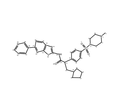 CN1CCN(S(=O)(=O)c2ccc(C(CC3CCCC3)C(=O)Nc3nc4ccc(-c5cncnc5)nc4s3)cc2)CC1